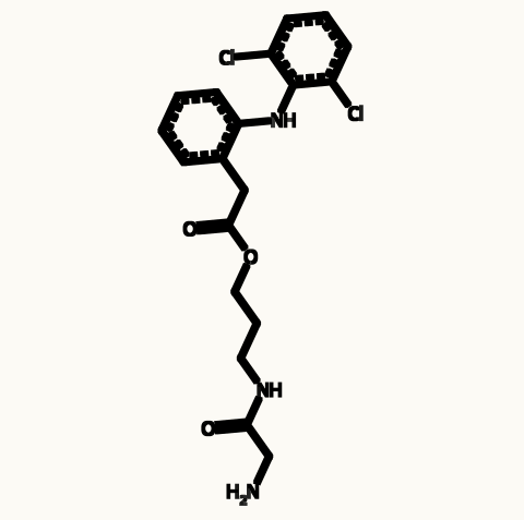 NCC(=O)NCCCOC(=O)Cc1ccccc1Nc1c(Cl)cccc1Cl